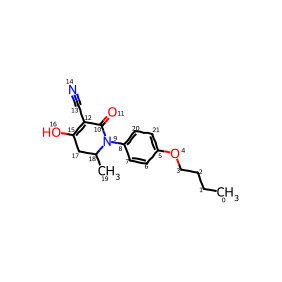 CCCCOc1ccc(N2C(=O)C(C#N)=C(O)CC2C)cc1